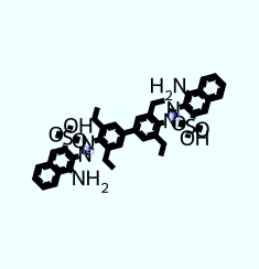 CCc1cc(-c2cc(CC)c(/N=N/c3c(S(=O)(=O)O)cc4ccccc4c3N)c(CC)c2)cc(CC)c1/N=N/c1c(S(=O)(=O)O)cc2ccccc2c1N